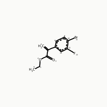 C=C(C(=O)OCC)c1ccc(Br)c(F)c1